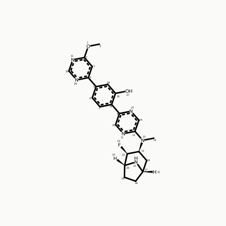 COc1cc(-c2ccc(-c3cnc(N(C)[C@H]4C[C@@H]5CC[C@@H](N5)[C@H]4F)cn3)c(O)c2)ncn1